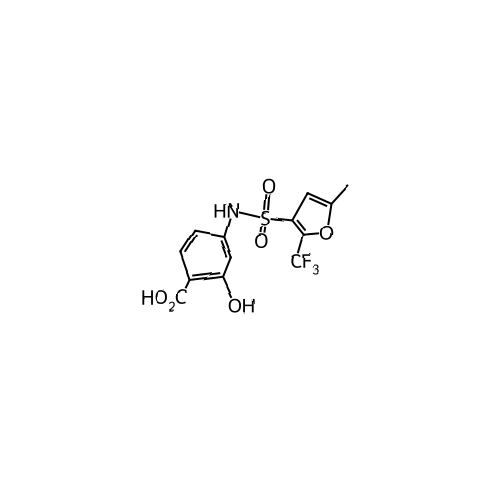 Cc1cc(S(=O)(=O)Nc2ccc(C(=O)O)c(O)c2)c(C(F)(F)F)o1